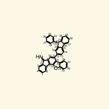 N=C1c2ccccc2-c2c1cc(-c1ccc3c4ccccc4n(-c4ccccc4)c3c1)c1c2oc2ccccc21